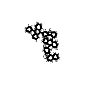 c1ccc(-c2c3ccccc3c(-c3ccc4c(c3)sc3cccc(-c5c6ccccc6c(-c6ccc7oc8ccc9ccccc9c8c7c6)c6ccccc56)c34)c3ccccc23)cc1